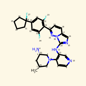 C[C@@H]1C[C@H](N)CN(c2ccncc2Nc2ncc3ccc(-c4c(F)cc(C5(F)CCCC5)cc4F)nn23)C1